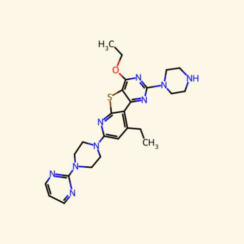 CCOc1nc(N2CCNCC2)nc2c1sc1nc(N3CCN(c4ncccn4)CC3)cc(CC)c12